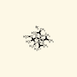 COC(C)(N[P+](NC(C)C)(NC(C)C)NC(C)C)OC.[Br-]